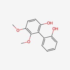 COc1ccc(O)c(-c2ccccc2O)c1OC